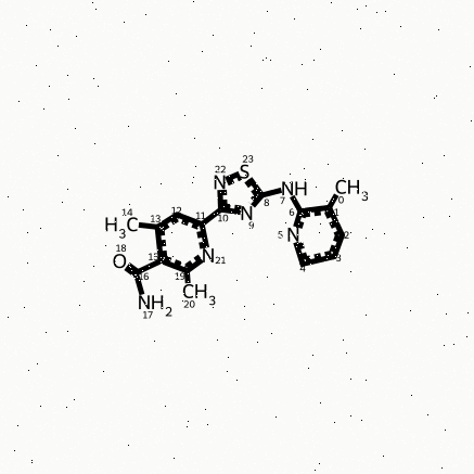 Cc1cccnc1Nc1nc(-c2cc(C)c(C(N)=O)c(C)n2)ns1